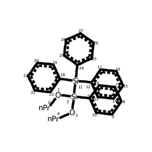 CCCO[Si](OCCC)(c1ccccc1)[Si](c1ccccc1)(c1ccccc1)c1ccccc1